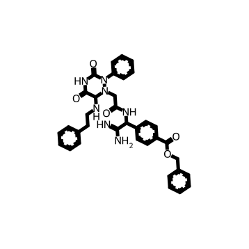 N=C(N)C(NC(=O)CN1C(NCCc2ccccc2)C(=O)NC(=O)N1c1ccccc1)c1ccc(C(=O)OCc2ccccc2)cc1